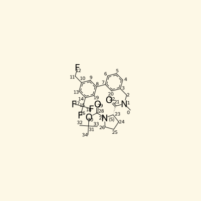 CN(Cc1cccc(-c2cc(CF)cc(C(F)(F)F)c2)c1)C(=O)[C@@H]1CCCN1C(=O)OC(C)(C)C